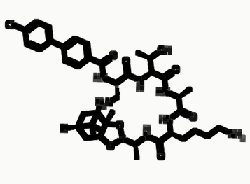 C[C@H](NC(=O)[C@H](CCCCN)NC(=O)[C@H](C)NC(=O)[C@@H](NC(=O)[C@H](CN)NC(=O)c1ccc(-c2ccc(Cl)cc2)cc1)[C@@H](C)O)B1OC2C[C@@H]3C[C@@H](C3(C)C)[C@]2(C)O1